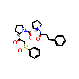 O=C(C[S@+]([O-])c1ccccc1)[C@@H]1CCCN1C(=O)[C@@H]1CCCN1C(=O)CCc1ccccc1